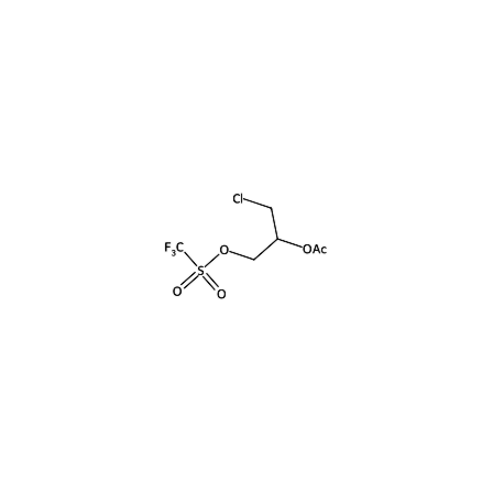 CC(=O)OC(CCl)COS(=O)(=O)C(F)(F)F